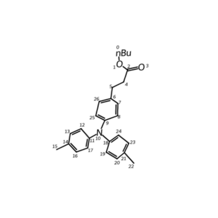 CCCCOC(=O)CCc1ccc(N(c2ccc(C)cc2)c2ccc(C)cc2)cc1